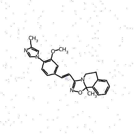 COc1cc(/C=C/C2=NOC3(C)c4ccccc4CCN23)ccc1-n1cnc(C)c1